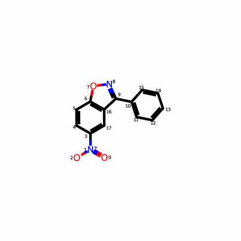 O=[N+]([O-])c1ccc2onc(-c3ccccc3)c2c1